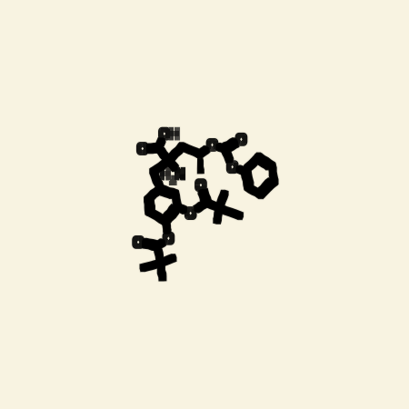 C[C@@H](CC(N)(Cc1ccc(OC(=O)C(C)(C)C)c(OC(=O)C(C)(C)C)c1)C(=O)O)OC(=O)Oc1ccccc1